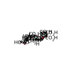 Cc1cn(Cc2c(Cl)cccc2OCCO)c(=O)c(NC(=O)N[C@@H](CC(=O)O)c2cccc(OCCO)c2)c1OCCOCCOCCNC(=O)Nc1ccc(CC2CN(CC(=O)O)CCN(CC(=O)O)CCN(CC(=O)O)CCN2CC(=O)O)cc1